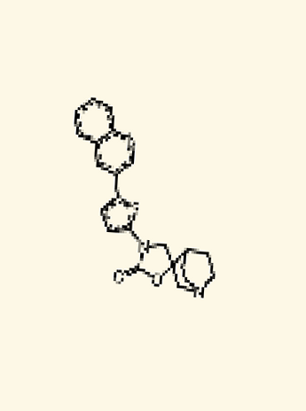 O=C1OC2(CN3CCC2CC3)CN1c1ccc(-c2cnc3ccccc3c2)s1